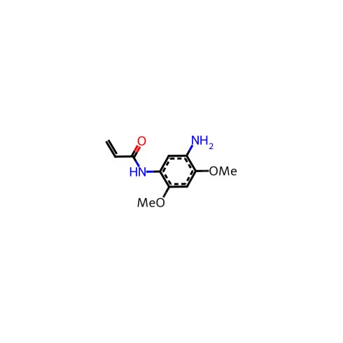 C=CC(=O)Nc1cc(N)c(OC)cc1OC